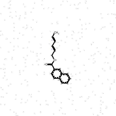 C/C=C/C=C/COC(=O)c1ccc2ccccc2c1